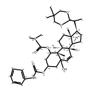 CC(C1OCC(C)(C)CO1)[C@H]1CC[C@H]2[C@@H]3C=CC4(O)CC(OC(=O)Nc5ccccc5)CC(OC(=O)N(C)C)[C@]4(C)[C@H]3CC[C@]12C